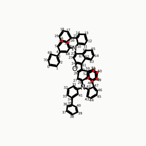 c1ccc(-c2cccc(N(c3ccccc3-c3ccccc3)c3cc4oc5cc(N(c6cccc(-c7ccccc7)c6)c6ccccc6-c6ccccc6)c6ccccc6c5c4c4ccccc34)c2)cc1